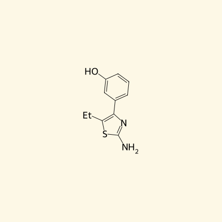 CCc1sc(N)nc1-c1cccc(O)c1